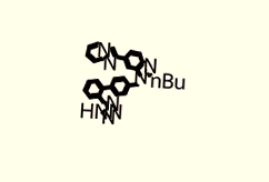 CCCCc1nc2ccc(-c3cn4ccccc4n3)cc2n1Cc1ccc(-c2ccccc2-c2nnn[nH]2)cc1